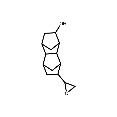 OC1CC2CC1C1C3CC(CC3C3CO3)C21